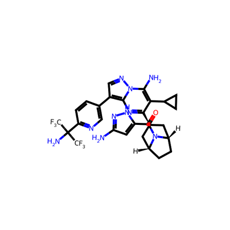 Nc1cc(C(=O)N2[C@@H]3CC[C@H]2C[C@H](c2nc4c(-c5ccc(C(N)(C(F)(F)F)C(F)(F)F)nc5)cnn4c(N)c2C2CC2)C3)[nH]n1